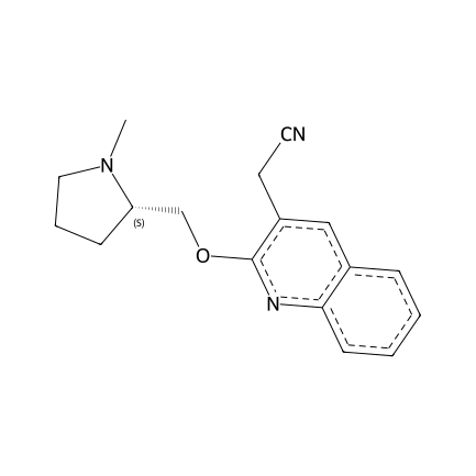 CN1CCC[C@H]1COc1nc2ccccc2cc1CC#N